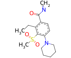 C=NC(=O)c1ccc(N2CCCCC2)c(S(C)(=O)=O)c1CC